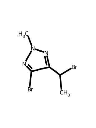 CC(Br)c1nn(C)nc1Br